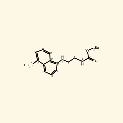 CC(C)(C)OC(=O)NCCNc1cccc2c(S(=O)(=O)O)cccc12